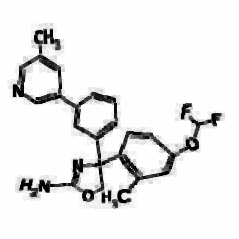 Cc1cncc(-c2cccc(C3(c4ccc(OC(F)F)cc4C)COC(N)=N3)c2)c1